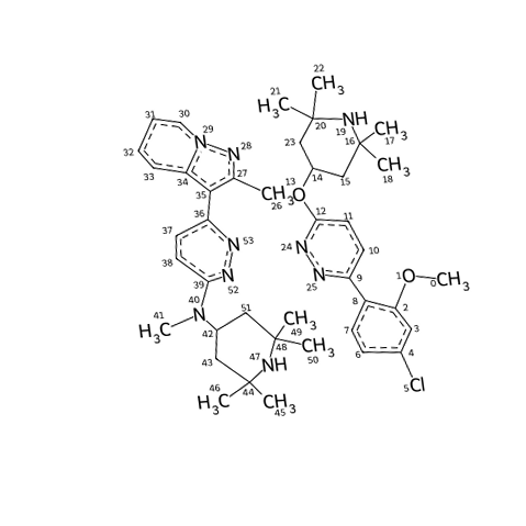 COc1cc(Cl)ccc1-c1ccc(OC2CC(C)(C)NC(C)(C)C2)nn1.Cc1nn2ccccc2c1-c1ccc(N(C)C2CC(C)(C)NC(C)(C)C2)nn1